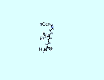 CCCCCCCC/C=C\CCCCCCCC(N)=O.CCNCC